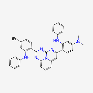 CC(C)c1ccc(C2=NC3=CC=CC4=CC(c5ccc(N(C)C)cc5Nc5ccccc5)=NC(=N2)N43)c(Nc2ccccc2)c1